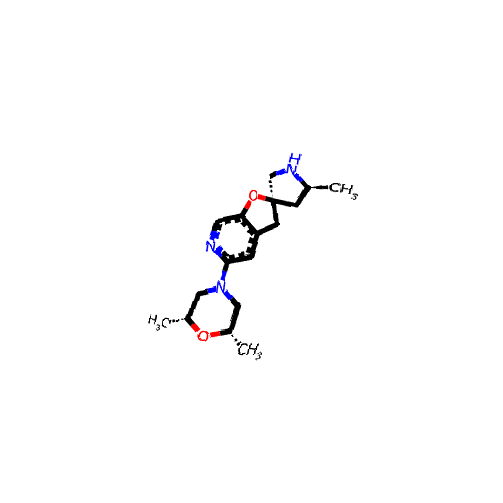 C[C@@H]1CN(c2cc3c(cn2)O[C@]2(CN[C@@H](C)C2)C3)C[C@H](C)O1